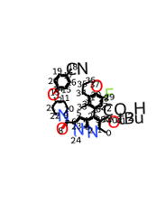 Cc1nc2c(cc(C(=O)N3CCC(Oc4ccc(C#N)cc4)CC3)n2C)c(-c2cc(F)c3c(c2C)CCCO3)c1[C@H](OC(C)(C)C)C(=O)O